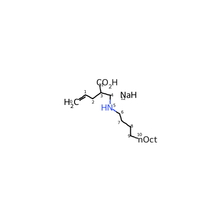 C=CCC(CNCCCCCCCCCCCC)C(=O)O.[NaH]